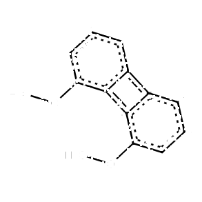 COc1cccc2c1=c1c(OC)cccc1=2